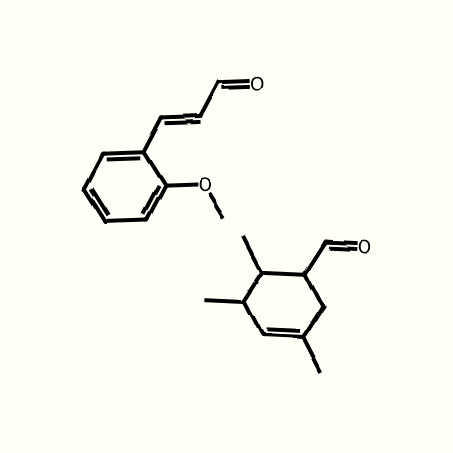 CC1=CC(C)C(C)C(C=O)C1.COc1ccccc1/C=C/C=O